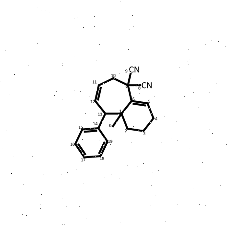 CC12CCCC=C1C(C#N)(C#N)CC=CC2c1ccccc1